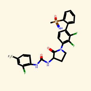 CS(=N)(=O)c1ccccc1-c1ccc(N2CCC(NC(=O)Nc3ccc(C(F)(F)F)cc3F)C2=O)c(F)c1F